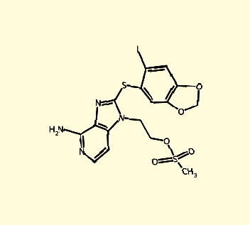 CS(=O)(=O)OCCn1c(Sc2cc3c(cc2I)OCO3)nc2c(N)nccc21